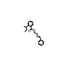 CCC(C)c1ccccc1C(=O)OCCN=Cc1ccccc1